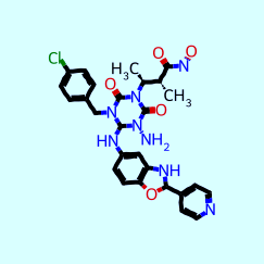 C[C@@H](C(=O)N=O)[C@H](C)N1C(=O)N(N)C(Nc2ccc3c(c2)NC(c2ccncc2)O3)N(Cc2ccc(Cl)cc2)C1=O